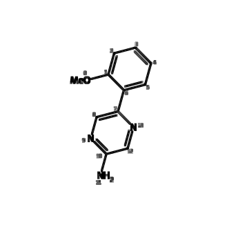 COc1ccccc1-c1cnc(N)cn1